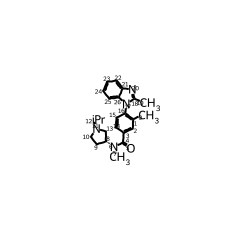 Cc1cc(C(=O)N(C)[C@@H]2CCN(C(C)C)C2)ccc1-n1c(C)nc2ccccc21